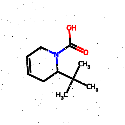 CC(C)(C)C1CC=CCN1C(=O)O